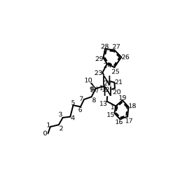 CCCCCCCCC[C@@H](C)C1N(Cc2ccccc2)CCN1Cc1ccccc1